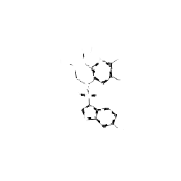 COCN(c1cc(F)c(Cl)nc1OC)S(=O)(=O)c1c[nH]c2cc(Cl)ccc12